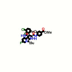 COC(=O)c1ccc(NC(=O)[C@@H]2N[C@@H](CC(C)(C)C)[C@@]3(C(=O)Nc4cc(F)cnc43)[C@H]2c2cccc(Cl)c2F)c(OC)c1